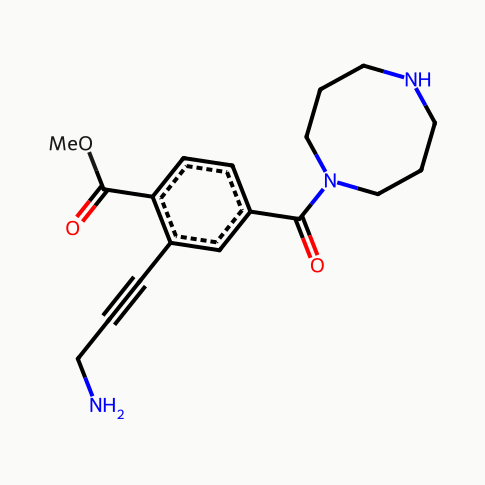 COC(=O)c1ccc(C(=O)N2CCCNCCC2)cc1C#CCN